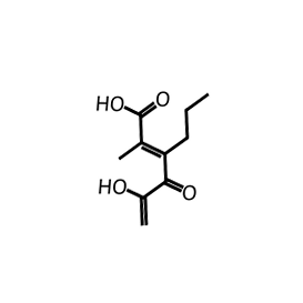 C=C(O)C(=O)C(CCC)=C(C)C(=O)O